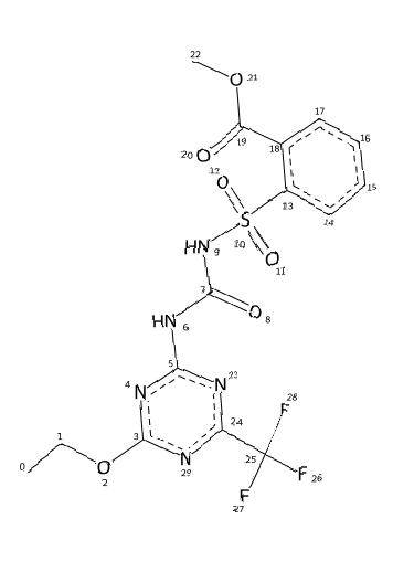 CCOc1nc(NC(=O)NS(=O)(=O)c2ccccc2C(=O)OC)nc(C(F)(F)F)n1